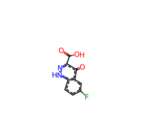 O=C(O)c1n[nH]c2ccc(F)cc2c1=O